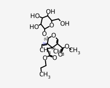 C/C=C1/[C@H](OC2OC(CO)C(O)C(O)C2O)OC=C(C(=O)OC)[C@@]1(C)CC(=O)OCCC